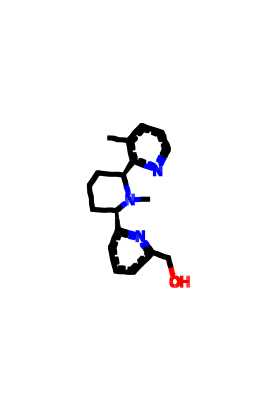 Cc1cccnc1[C@@H]1CCC[C@H](c2cccc(CO)n2)N1C